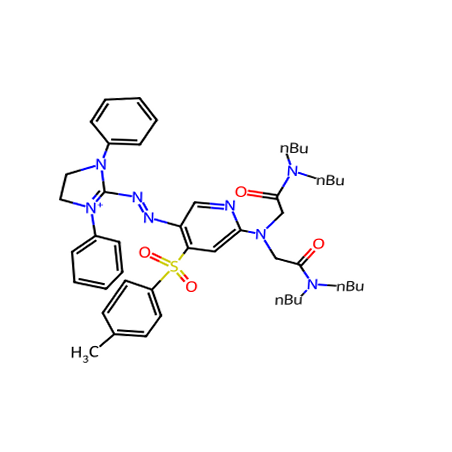 CCCCN(CCCC)C(=O)CN(CC(=O)N(CCCC)CCCC)c1cc(S(=O)(=O)c2ccc(C)cc2)c(/N=N/C2=[N+](c3ccccc3)CCN2c2ccccc2)cn1